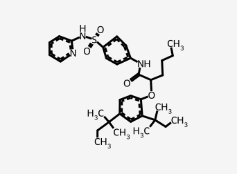 CCCCC(Oc1ccc(C(C)(C)CC)cc1C(C)(C)CC)C(=O)Nc1ccc(S(=O)(=O)Nc2ccccn2)cc1